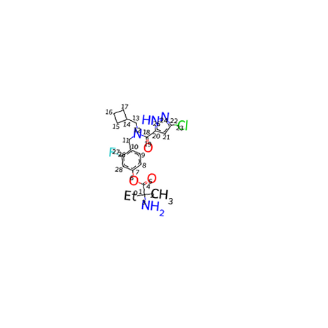 CCC(C)(N)C(=O)Oc1ccc(CN(CC2CCC2)C(=O)c2cc(Cl)n[nH]2)c(F)c1